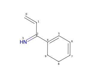 C=CC(=N)C1=CC=CCC1